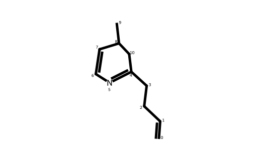 C=CCCC1=NC=CC(C)C1